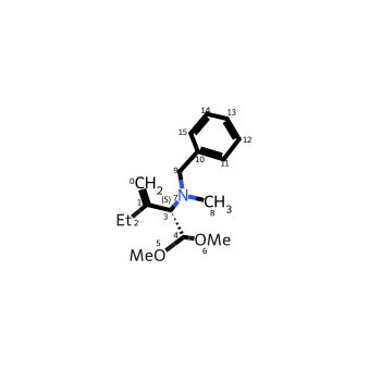 C=C(CC)[C@@H](C(OC)OC)N(C)Cc1ccccc1